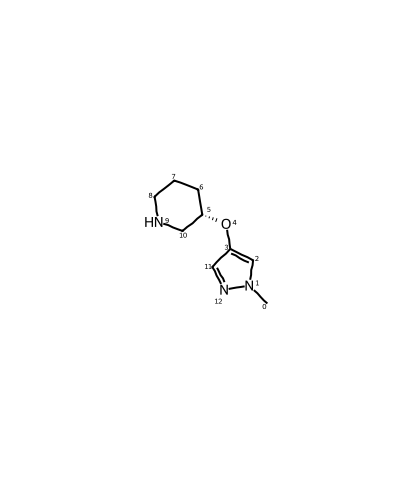 Cn1cc(O[C@H]2CCCNC2)cn1